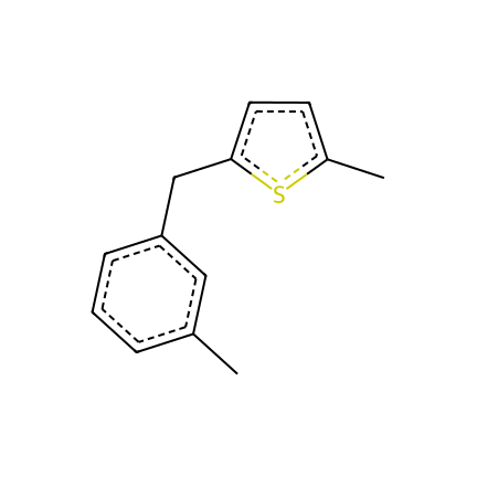 Cc1cccc(Cc2ccc(C)s2)c1